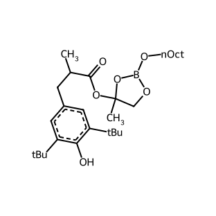 CCCCCCCCOB1OCC(C)(OC(=O)C(C)Cc2cc(C(C)(C)C)c(O)c(C(C)(C)C)c2)O1